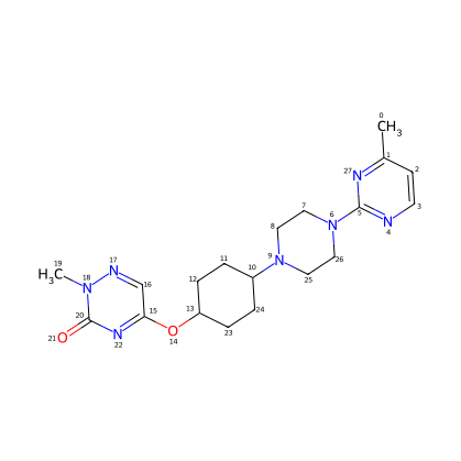 Cc1ccnc(N2CCN(C3CCC(Oc4cnn(C)c(=O)n4)CC3)CC2)n1